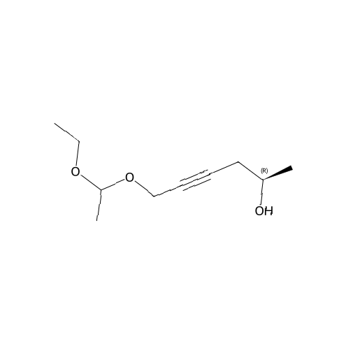 CCOC(C)OCC#CC[C@@H](C)O